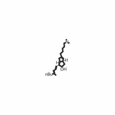 CCCC/C(C)=C/C=C/[C@@H]1[C@H]2CC(CCCCCN(C)C)=C[C@H]2C[C@H]1O